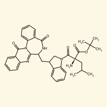 CC(C)C[C@@](N)(C(=O)OC(C)(C)C)C(=O)N1CC(CC2NC(=O)c3ccccc3-n3c2nc2ccccc2c3=O)c2ccccc21